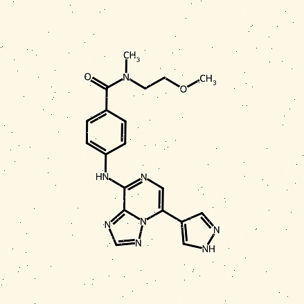 COCCN(C)C(=O)c1ccc(Nc2ncc(-c3cn[nH]c3)n3ncnc23)cc1